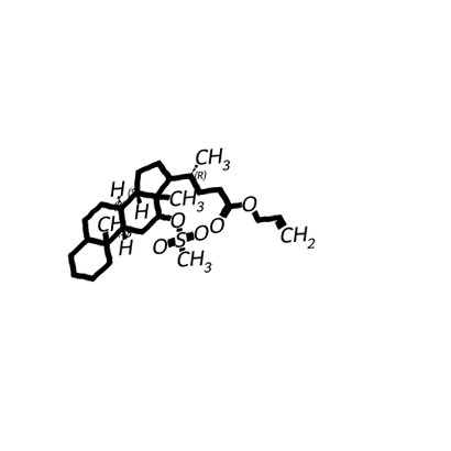 C=CCOC(=O)CC[C@@H](C)C1CC[C@H]2[C@@H]3CCC4CCCCC4(C)[C@H]3CC(OS(C)(=O)=O)C12C